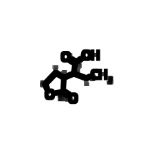 CCC(C(=O)O)C1CCOC1=O